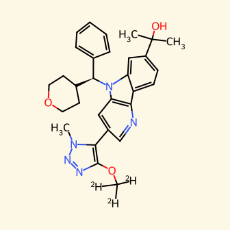 [2H]C([2H])([2H])Oc1nnn(C)c1-c1cnc2c3ccc(C(C)(C)O)cc3n([C@H](c3ccccc3)C3CCOCC3)c2c1